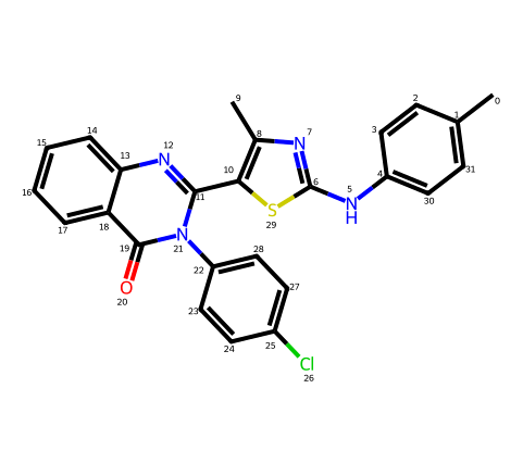 Cc1ccc(Nc2nc(C)c(-c3nc4ccccc4c(=O)n3-c3ccc(Cl)cc3)s2)cc1